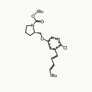 CC(C)(C)C=CC=Cc1cc(OC[C@H]2CCCN2C(=O)OC(C)(C)C)cnc1Cl